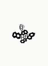 C1=C(c2ccc3ccccc3c2)[CH]([Hf+2][CH]2C(c3ccc4ccccc4c3)=Cc3ccccc32)c2ccccc21.[Cl-].[Cl-]